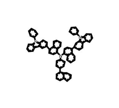 c1ccc(-n2c3ccccc3c3cc(-c4ccc(N(c5ccc(-c6cccc7ccccc67)cc5)c5ccc(-c6ccc7c8ccccc8n(-c8ccccc8)c7c6)c6ccccc56)c5ccccc45)ccc32)cc1